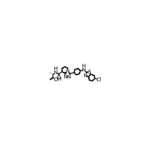 C=C(O)[C@H](C)NC(=O)c1cccn2c(-c3ccc(Nc4nc5ccc(Cl)cc5s4)cc3)nnc12